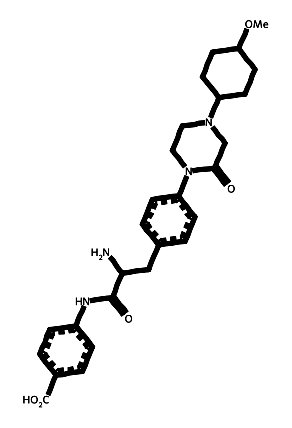 COC1CCC(N2CCN(c3ccc(CC(N)C(=O)Nc4ccc(C(=O)O)cc4)cc3)C(=O)C2)CC1